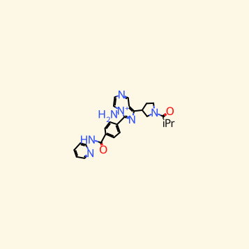 CC(C)C(=O)N1CCC(C2=C3C=NC=C[N+]3(N)C(c3ccc(C(=O)Nc4ccccn4)cc3)=N2)C1